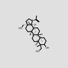 C=C(C)[C@@H]1CC[C@]2(CO)CC[C@]3(C)[C@H](CC[C@@H]4[C@@]5(C)CCC(O)C(C)(CO)[C@@H]5CC[C@]43C)[C@@H]12